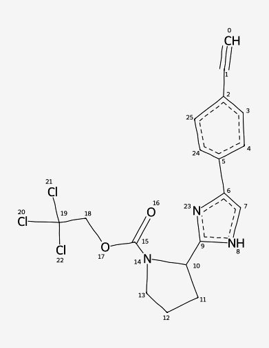 C#Cc1ccc(-c2c[nH]c(C3CCCN3C(=O)OCC(Cl)(Cl)Cl)n2)cc1